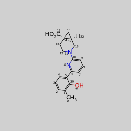 Cc1cccc(-c2cccc(N3CC[C@@]4(C(=O)O)C[C@H]4C3)n2)c1O